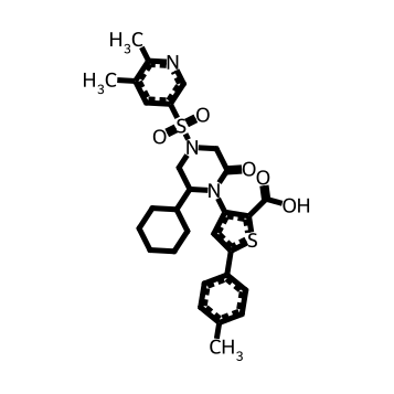 Cc1ccc(-c2cc(N3C(=O)CN(S(=O)(=O)c4cnc(C)c(C)c4)CC3C3CCCCC3)c(C(=O)O)s2)cc1